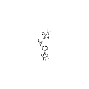 CCN(CCNC(=O)OC(C)(C)C)Cc1cccc(B2OC(C)(C)C(C)(C)O2)c1